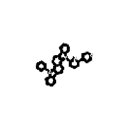 c1ccc(-n2c3ccccc3c3ccc4c(ccc5c6ccccc6n(-c6cccc(-c7ccncc7)n6)c54)c32)cc1